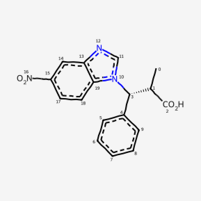 CC(C(=O)O)[C@H](c1ccccc1)n1cnc2cc([N+](=O)[O-])ccc21